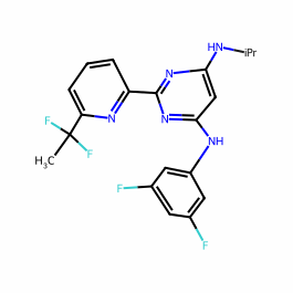 CC(C)Nc1cc(Nc2cc(F)cc(F)c2)nc(-c2cccc(C(C)(F)F)n2)n1